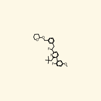 COc1ccc(F)c(-c2ccc(C(F)Cc3cccc(COC4CCCCO4)c3)nc2CC(C)(C)C)c1